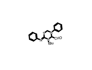 CC(C)(C)N1C(=Nc2ccccc2)SCN(c2ccccc2)C1C=O